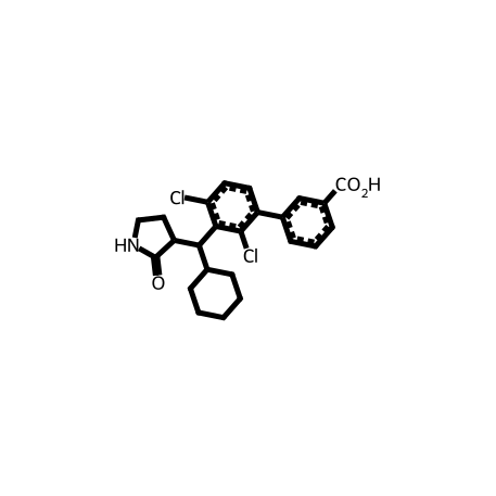 O=C(O)c1cccc(-c2ccc(Cl)c(C(C3CCCCC3)C3CCNC3=O)c2Cl)c1